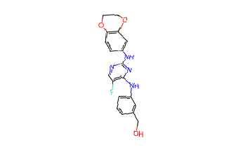 OCc1cccc(Nc2nc(Nc3ccc4c(c3)OCCO4)ncc2F)c1